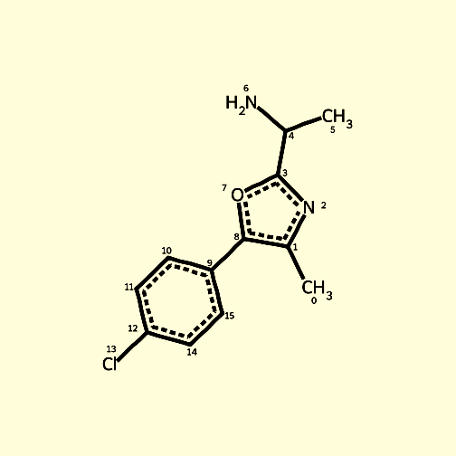 Cc1nc(C(C)N)oc1-c1ccc(Cl)cc1